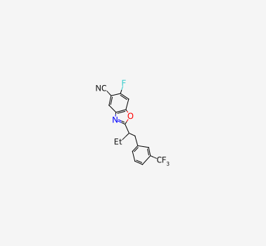 CCC(Cc1cccc(C(F)(F)F)c1)c1nc2cc(C#N)c(F)cc2o1